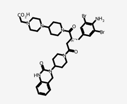 Nc1c(Br)cc(C[C@H](CC(=O)N2CCC(N3Cc4ccccc4NC3=O)CC2)C(=O)N2CCC(N3CCN(CC(=O)O)CC3)CC2)cc1Br